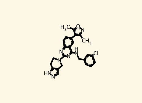 Cc1noc(C)c1-c1ccc2nc(N3CCc4[nH]ncc4C3)nc(NCc3cccc(Cl)c3)c2c1